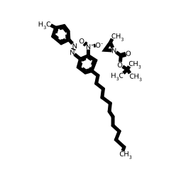 CC1CN1C(=O)OC(C)(C)C.CCCCCCCCCCCCc1ccc(N=Nc2ccc(C)cc2)c([N+](=O)[O-])c1